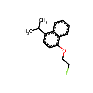 CC(C)c1ccc(OCCF)c2ccccc12